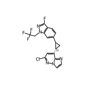 Fc1nn(CC(F)(F)F)c2cc(C3C[C@@H]3c3cc(Cl)nn4ccnc34)ccc12